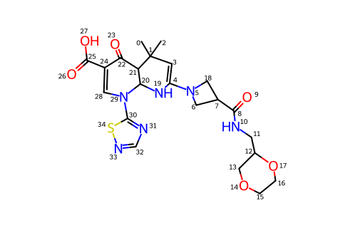 CC1(C)C=C(N2CC(C(=O)NCC3COCCO3)C2)NC2C1C(=O)C(C(=O)O)=CN2c1ncns1